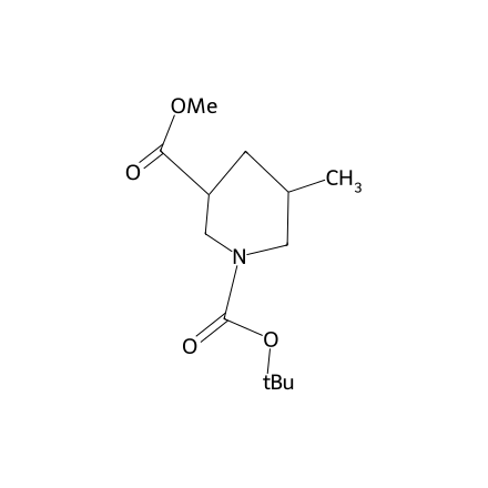 COC(=O)C1CC(C)CN(C(=O)OC(C)(C)C)C1